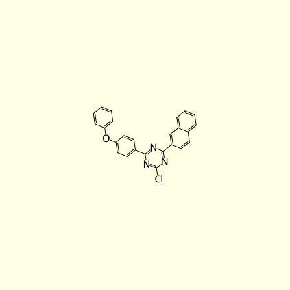 Clc1nc(-c2ccc(Oc3ccccc3)cc2)nc(-c2ccc3ccccc3c2)n1